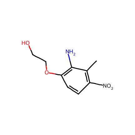 Cc1c([N+](=O)[O-])ccc(OCCO)c1N